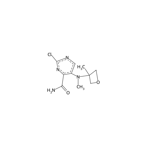 CN(c1cnc(Cl)nc1C(N)=O)C1(C)COC1